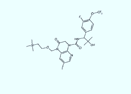 CC(C)(O)C(NC(=O)N1CC(=O)N(COCC[Si](C)(C)C)c2cc(I)cnc21)c1ccc(OC(F)(F)F)c(F)c1